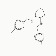 Cc1ccc(CN[C@@H]2CCCC[C@H]2NCc2ccc(C)cc2)cc1